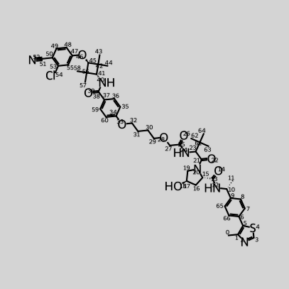 Cc1ncsc1-c1ccc([C@@H](C)NC(=O)[C@@H]2C[C@@H](O)CN2C(=O)C(NC(=O)COCCCCOc2ccc(C(=O)N[C@H]3C(C)(C)[C@H](Oc4ccc(C#N)c(Cl)c4)C3(C)C)cc2)C(C)(C)C)cc1